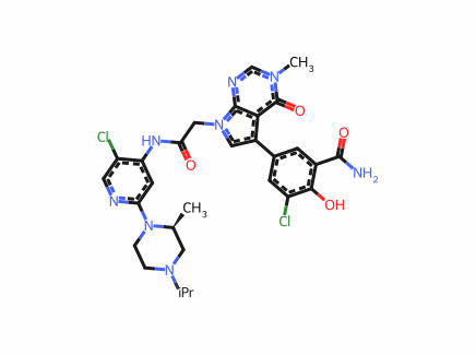 CC(C)N1CCN(c2cc(NC(=O)Cn3cc(-c4cc(Cl)c(O)c(C(N)=O)c4)c4c(=O)n(C)cnc43)c(Cl)cn2)[C@@H](C)C1